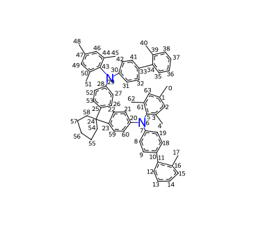 Cc1cc(C)c(N(c2ccc(-c3ccccc3C)cc2)c2ccc(C3(c4ccc(N(c5ccc(-c6ccccc6C)cc5)c5c(C)cc(C)cc5C)cc4)CCCCC3)cc2)c(C)c1